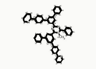 CN1C(c2cc(-c3ccccc3)cc(-c3ccc(-c4ccccn4)cc3)c2)=NC(c2cc(-c3ccccc3)cc(-c3ccc(C4CC=CC=N4)cc3)c2)=NC1c1ccccc1